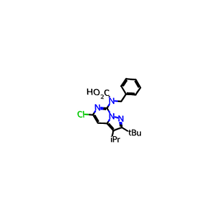 CC(C)c1c(C(C)(C)C)nn2c(N(Cc3ccccc3)C(=O)O)nc(Cl)cc12